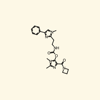 Cc1nc(C(=O)N2CCC2)c(OC(=O)NCCc2nc(-c3ccccc3)cn2C)n1C